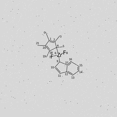 CC1=C(C)[C](C)([Zr]([F])([F])[CH]2C=Cc3ccccc32)C(C)=C1C